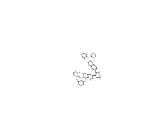 Cc1ccccc1N(c1ccc2cc3c(cc2c1)oc1cc(C)c2oc4cc5cc(N(c6ccccc6C)c6c(C)cccc6C)ccc5cc4c2c13)c1c(C)cccc1C